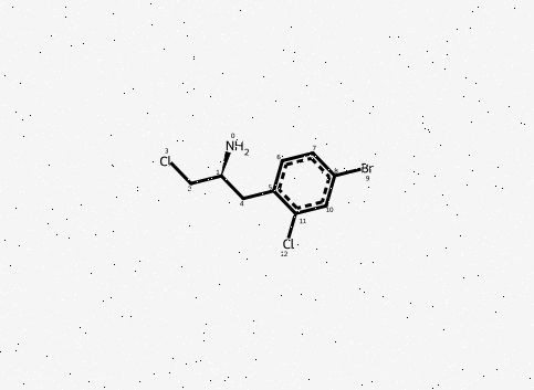 N[C@H](CCl)Cc1ccc(Br)cc1Cl